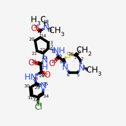 C=C1CN(C)CCN=C(C(=O)N[C@@H]2C[C@@H](C(=O)N(C)C)CC[C@@H]2NC(=O)C(=O)Nc2ccc(Cl)cn2)S1